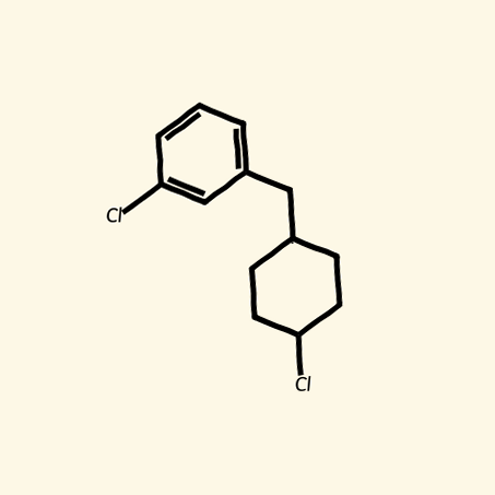 Clc1cccc(C[C]2CCC(Cl)CC2)c1